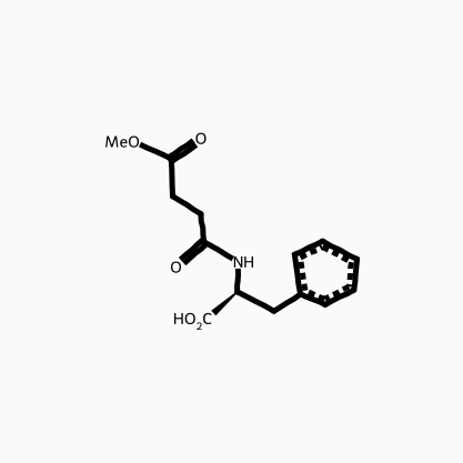 COC(=O)CCC(=O)N[C@@H](Cc1ccccc1)C(=O)O